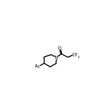 CC(=O)C1CCN(C(=O)CC(F)(F)F)CC1